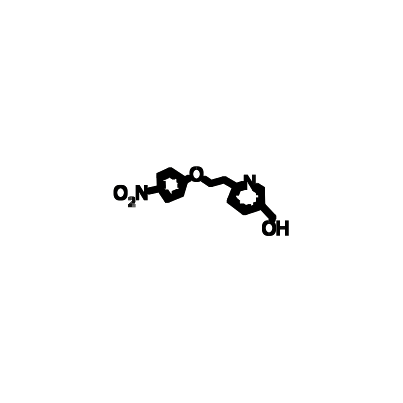 O=[N+]([O-])c1ccc(OCCc2ccc(CO)cn2)cc1